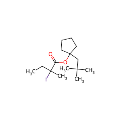 CCC(C)(I)C(=O)OC1(CC(C)(C)C)CCCC1